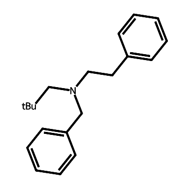 CC(C)(C)CN(CCc1ccccc1)Cc1ccccc1